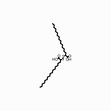 CCCCCCCCCCCCCCCCC(SSC(CCCCCCCCCCCCCCCC)C(=O)O)C(=O)O